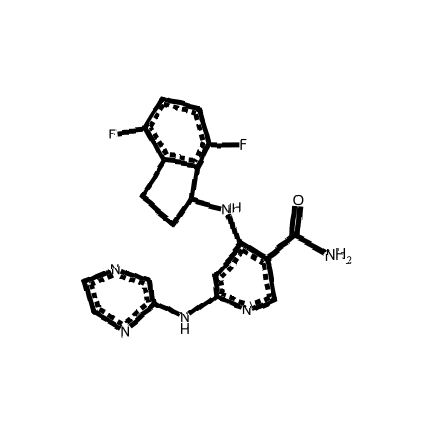 NC(=O)c1cnc(Nc2cnccn2)cc1NC1CCc2c(F)ccc(F)c21